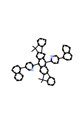 CC1(C)c2ccccc2-c2cc3c(-c4ccc(-c5cccc6ccccc56)cn4)c4cc5c(cc4c(-c4ccc(-c6cccc7ccccc67)cn4)c3cc21)C(C)(C)c1ccccc1-5